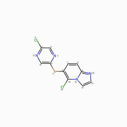 Clc1cnc(Sc2ccc3nccn3c2Cl)cn1